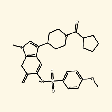 C=C1Cc2c(c(C3CCN(C(=O)C4CCCC4)CC3)cn2C)C=C1NS(=O)(=O)c1ccc(OC)cc1